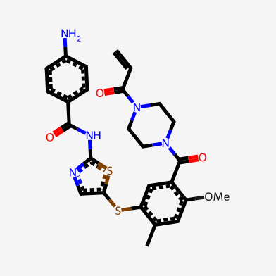 C=CC(=O)N1CCN(C(=O)c2cc(Sc3cnc(NC(=O)c4ccc(N)cc4)s3)c(C)cc2OC)CC1